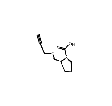 C#CCOC[C@@H]1CCCN1C(=O)O